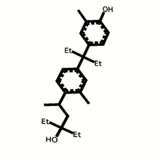 CCC(O)(CC)CC(C)c1ccc(C(CC)(CC)c2ccc(O)c(C)c2)cc1C